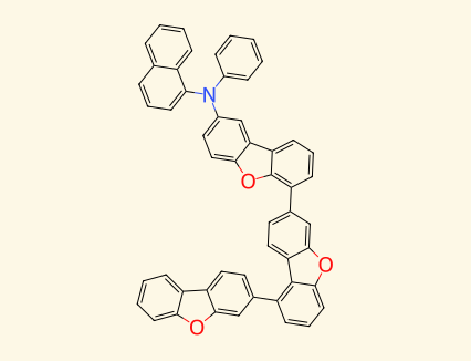 c1ccc(N(c2ccc3oc4c(-c5ccc6c(c5)oc5cccc(-c7ccc8c(c7)oc7ccccc78)c56)cccc4c3c2)c2cccc3ccccc23)cc1